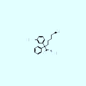 COC(=O)C(CCCCC#N)(c1ccccc1)c1cccc(C)c1